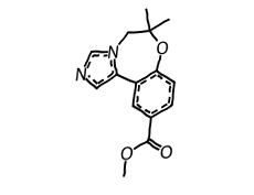 COC(=O)c1ccc2c(c1)-c1cncn1CC(C)(C)O2